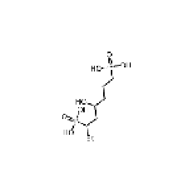 CCC(CC(O)CCCP(=O)(O)O)P(=O)(O)O